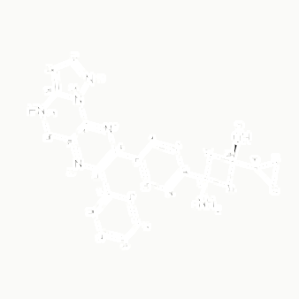 N[C@]1(c2ccc(-c3nc4c(nc3-c3ccccc3)CNc3ccnn3-4)cc2)C[C@](O)(C2CC2)C1